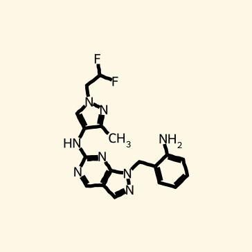 Cc1nn(CC(F)F)cc1Nc1ncc2cnn(Cc3ccccc3N)c2n1